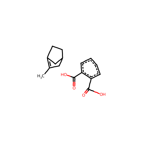 CC1=C2CCC(C1)C2.O=C(O)c1ccccc1C(=O)O